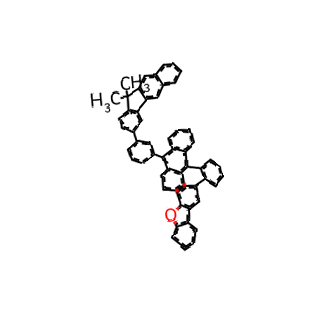 CC1(C)c2ccc(-c3cccc(-c4c5ccccc5c(-c5ccccc5-c5ccc6oc7ccccc7c6c5)c5ccccc45)c3)cc2-c2cc3ccccc3cc21